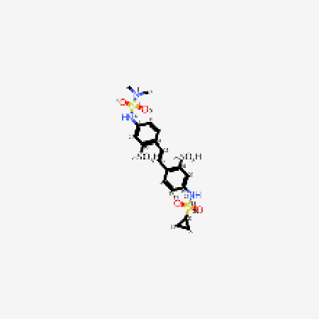 CN(C)S(=O)(=O)Nc1ccc(C=Cc2ccc(NS(=O)(=O)C3CC3)cc2S(=O)(=O)O)c(S(=O)(=O)O)c1